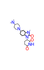 CN(C)C1CCN(c2ccc3c(c2)n(C)c(=O)n3C2CCC(=O)NC2=O)CC1